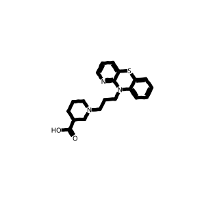 O=C(O)C1CCCN(CCCN2c3ccccc3Sc3cccnc32)C1